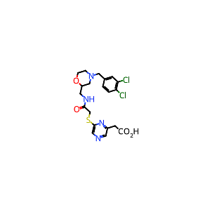 O=C(O)Cc1cncc(SCC(=O)NCC2CN(Cc3ccc(Cl)c(Cl)c3)CCO2)n1